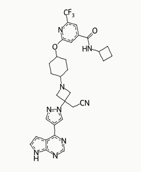 N#CCC1(n2cc(-c3ncnc4[nH]ccc34)cn2)CN(C2CCC(Oc3cc(C(=O)NC4CCC4)cc(C(F)(F)F)n3)CC2)C1